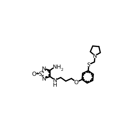 Nc1n[s+]([O-])nc1NCCCOc1cccc(SCN2CCCC2)c1